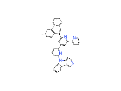 CC1C=Cc2c(-c3cc(-c4cccc(-n5c6ccccc6c6cnccc65)n4)cc(-c4ccccn4)n3)cc3ccccc3c2C1